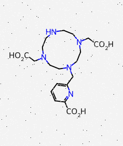 O=C(O)CN1CCNCCN(CC(=O)O)CCN(Cc2cccc(C(=O)O)n2)CC1